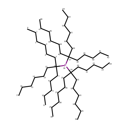 CCCCCCC(CCCCC)(CCCCCC)P(C(CCCCC)(CCCCCC)CCCCCC)C(CCCCC)(CCCCCC)CCCCCC